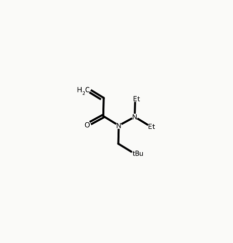 C=CC(=O)N(CC(C)(C)C)N(CC)CC